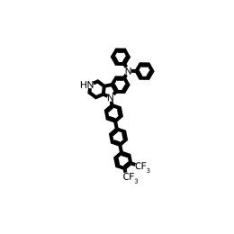 FC(F)(F)c1ccc(-c2ccc(-c3ccc(N4c5ccc(N(c6ccccc6)c6ccccc6)cc5C5CNCCC54)cc3)cc2)cc1C(F)(F)F